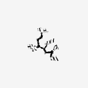 CCCC(C)C(O)CC(=O)O